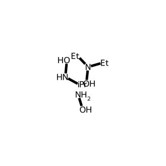 CC(C)NO.CCN(O)CC.NO